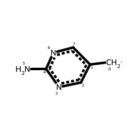 [CH2]c1cnc(N)nc1